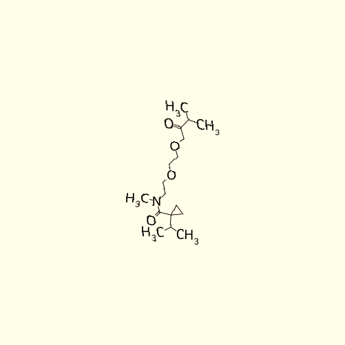 CC(C)C(=O)COCCOCCN(C)C(=O)C1(C(C)C)CC1